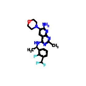 Cc1nc(N[C@H](C)c2cccc(C(F)F)c2F)c2cc(N3CCOCC3)c(N)nc2n1